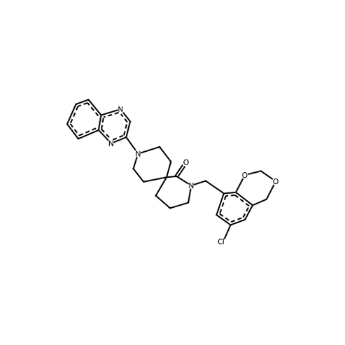 O=C1N(Cc2cc(Cl)cc3c2OCOC3)CCCC12CCN(c1cnc3ccccc3n1)CC2